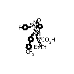 CCN(CC)CCN(CC(=O)O)Cc1nnc(Cn2c(SCc3ccc(F)cc3)nc(=O)c3c2CCC3)n1Cc1ccc(-c2ccc(C(F)(F)F)cc2)cc1